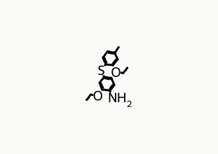 CCOc1cc(Sc2ccc(C)cc2)c(OCC)cc1N